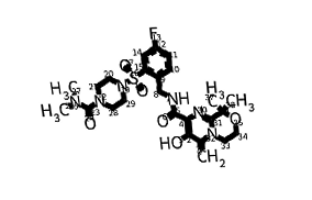 C=C1C(O)=C(C(=O)NCc2ccc(F)cc2S(=O)(=O)N2CCN(C(=O)N(C)C)CC2)N=C2N1CCOC2(C)C